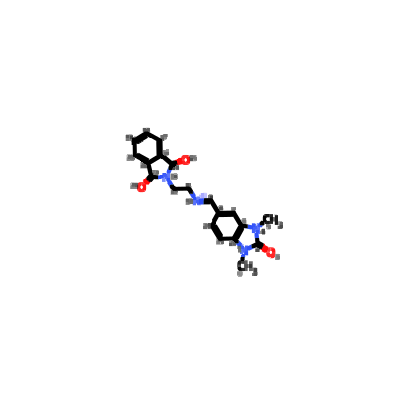 Cn1c(=O)n(C)c2cc(/C=N/CCN3C(=O)c4ccccc4C3=O)ccc21